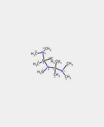 CN(C)[Si](C)(C)N([SiH3])[Si](C)(C)N(C)C